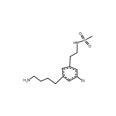 CCc1cc(CCCCN)cc(CCNS(C)(=O)=O)c1